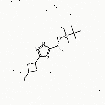 C[C@@H](O[Si](C)(C)C(C)(C)C)c1nnc(C2CC(I)C2)s1